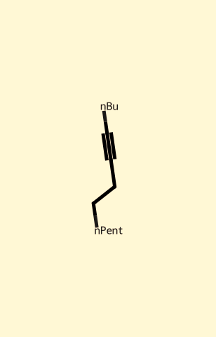 [CH2]CCCCCCC#CCCCC